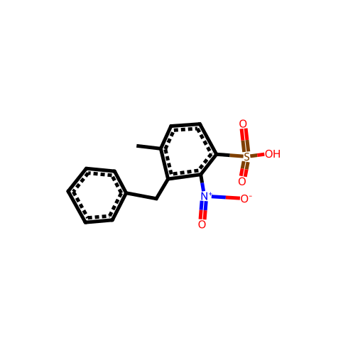 Cc1ccc(S(=O)(=O)O)c([N+](=O)[O-])c1Cc1ccccc1